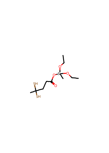 CCO[Si](C)(OCC)OC(=O)CCC(C)(S)S